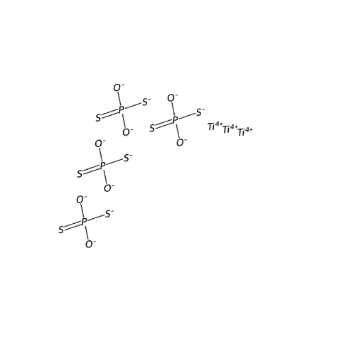 [O-]P([O-])(=S)[S-].[O-]P([O-])(=S)[S-].[O-]P([O-])(=S)[S-].[O-]P([O-])(=S)[S-].[Ti+4].[Ti+4].[Ti+4]